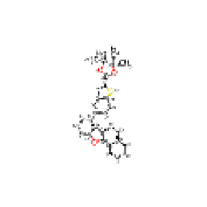 CC1(C)OB(c2cc3cc(-c4cccc5oc6c7ccccc7ccc6c45)ccc3s2)OC1(C)C